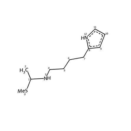 CSC(C)NCCCCc1ccc[nH]1